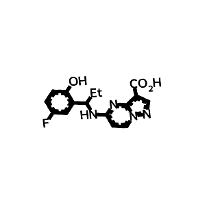 CCC(Nc1ccn2ncc(C(=O)O)c2n1)c1cc(F)ccc1O